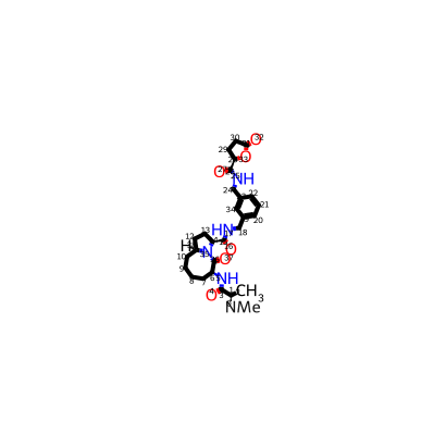 CN[C@@H](C)C(=O)N[C@H]1CCCC[C@H]2CC[C@@H](C(=O)NCc3cccc(CNC(=O)[C@H]4CCC(=O)O4)c3)N2C1=O